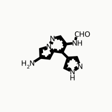 Nc1cc2c(-c3cn[nH]c3)c(NC=O)cnn2c1